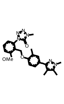 COc1cccc(-n2nnn(C)c2=O)c1COc1ccc(-c2nn(C)c(C)c2C)cc1C